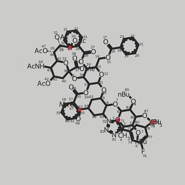 CCCCOC1C(C)OC(OC2C(OC3OC(COC(=O)c4ccccc4)C(OC(=O)c4ccccc4)C(OC4(C(=O)OC)CC(OC(C)=O)C(NC(C)=O)C([C@H](OC(C)=O)[C@@H](COC(C)=O)OC(C)=O)O4)C3OC(=O)c3ccccc3)CC(C(=O)OC)CC2n2cc(C3=CC(F)=CC(C)C3)nn2)C(OCCCC)C1OCCCC